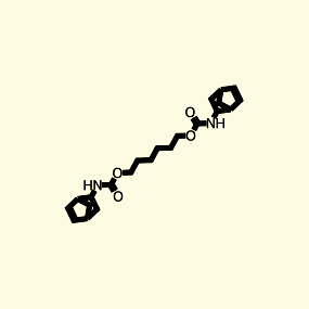 O=C(NC1CC2C=CC1C2)OCCCCCCOC(=O)NC1CC2C=CC1C2